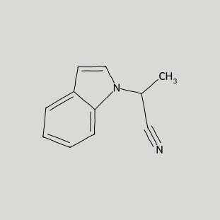 CC(C#N)n1ccc2ccccc21